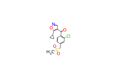 CS(=O)(=O)Cc1ccc(C(=O)c2cnoc2C2CC2)c(Cl)c1